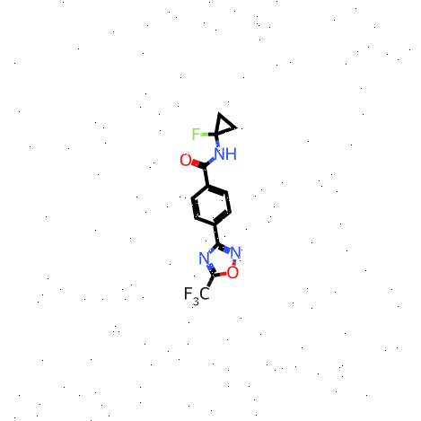 O=C(NC1(F)CC1)c1ccc(-c2noc(C(F)(F)F)n2)cc1